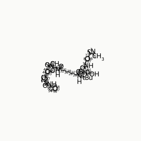 Cc1ncsc1-c1ccc(CNC(=O)[C@@H]2C[C@@H](O)CN2C(=O)[C@@H](NC(=O)CCCCCCCC(=O)NCCN(C)C(=O)c2ccc(-c3cc(C(=O)N[C@@H]4CCc5ccccc54)no3)cc2O)C(C)(C)C)cc1